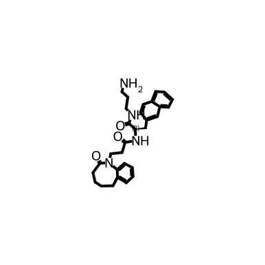 NCCCNC(=O)[C@@H](Cc1ccc2ccccc2c1)NC(=O)CCN1C(=O)CCCCc2ccccc21